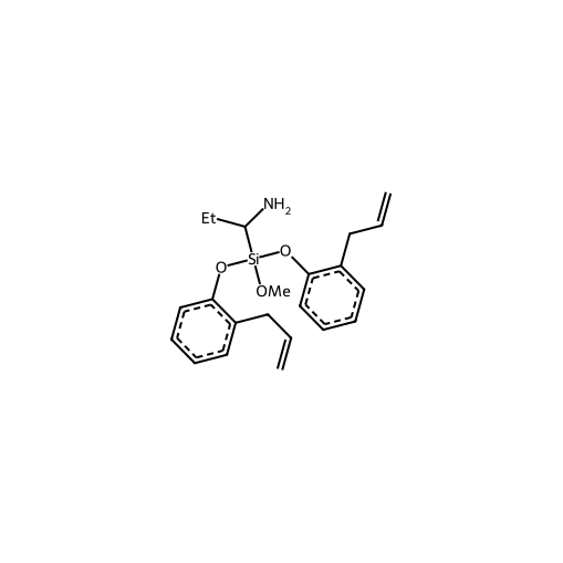 C=CCc1ccccc1O[Si](OC)(Oc1ccccc1CC=C)C(N)CC